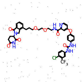 O=C1CCC(N2Cc3c(CCCOCCOCCNC(=O)c4cc(Oc5ccc(NC(=O)Nc6ccc(Cl)c(C(F)(F)F)c6)cc5)ccn4)cccc3C2=O)C(=O)N1